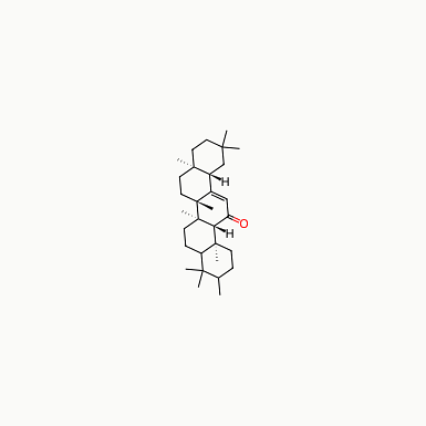 CC1CC[C@@]2(C)C(CC[C@]3(C)[C@@H]2C(=O)C=C2[C@H]4CC(C)(C)CC[C@]4(C)CC[C@]23C)C1(C)C